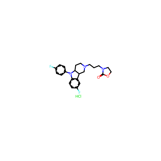 Cl.O=C1OCCN1CCCN1CCC2C(C1)c1cc(F)ccc1N2c1ccc(F)cc1